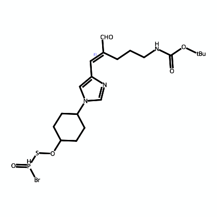 CC(C)(C)OC(=O)NCCC/C(C=O)=C\c1cn(C2CCC(OS[PH](=O)Br)CC2)cn1